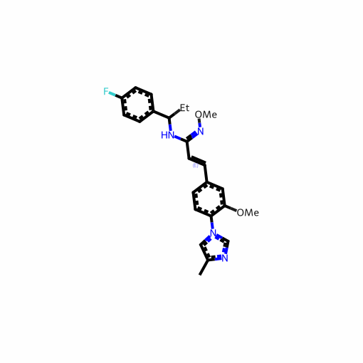 CCC(NC(/C=C/c1ccc(-n2cnc(C)c2)c(OC)c1)=NOC)c1ccc(F)cc1